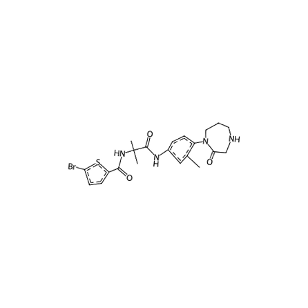 Cc1cc(NC(=O)C(C)(C)NC(=O)c2ccc(Br)s2)ccc1N1CCCNCC1=O